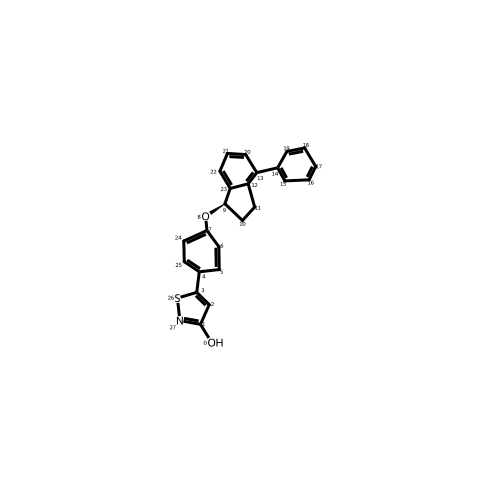 Oc1cc(-c2ccc(O[C@@H]3CCc4c(-c5ccccc5)cccc43)cc2)sn1